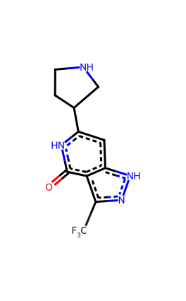 O=c1[nH]c(C2CCNC2)cc2[nH]nc(C(F)(F)F)c12